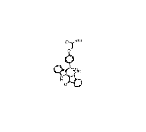 CCCCC(CC)COc1ccc(/C(C)=c2/c(=C3/C(=O)c4ccccc4N3C=O)[nH]c3ccccc23)cc1